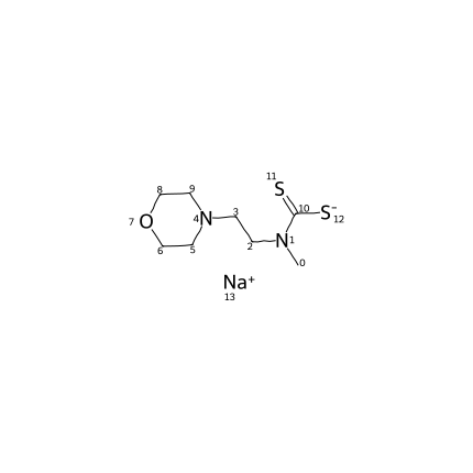 CN(CCN1CCOCC1)C(=S)[S-].[Na+]